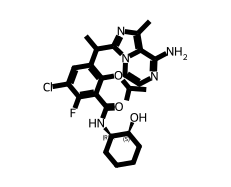 Cc1nc(C(C)c2cc(Cl)c(F)c(C(=O)N[C@@H]3CCCC[C@@H]3O)c2OC(C)C)n2ccnc(N)c12